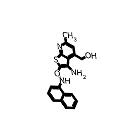 Cc1cc(CO)c2c(N)c(ONc3cccc4ccccc34)sc2n1